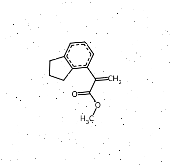 C=C(C(=O)OC)c1cccc2c1CCC2